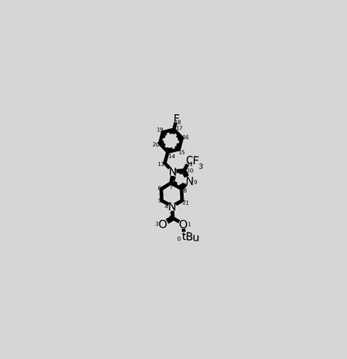 CC(C)(C)OC(=O)N1CCc2c(nc(C(F)(F)F)n2Cc2ccc(F)cc2)C1